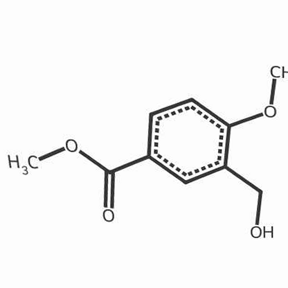 COC(=O)c1ccc(OC)c(CO)c1